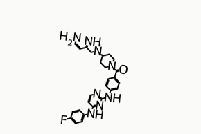 CN(CC(=N)/C=C\N)C1CCN(C(=O)c2ccc(Nc3nccc(Nc4ccc(F)cc4)n3)cc2)CC1